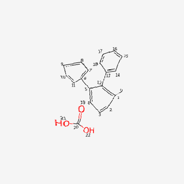 Cc1cccc(-c2ccccc2)c1-c1ccccc1.O=C(O)O